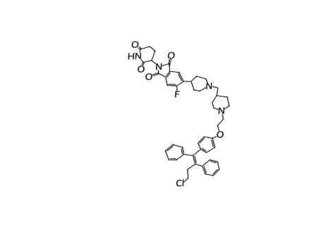 O=C1CCC(N2C(=O)c3cc(F)c(C4CCN(CC5CCN(CCOc6ccc(C(=C(CCCl)c7ccccc7)c7ccccc7)cc6)CC5)CC4)cc3C2=O)C(=O)N1